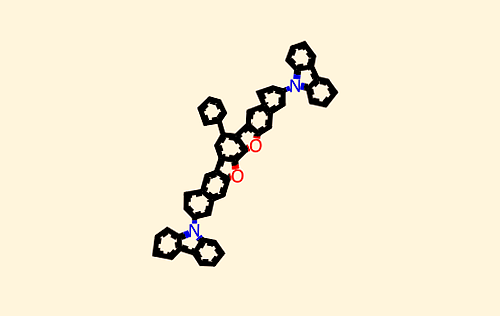 c1ccc(-c2cc3c4cc5ccc(-n6c7ccccc7c7ccccc76)cc5cc4oc3c3oc4cc5cc(-n6c7ccccc7c7ccccc76)ccc5cc4c23)cc1